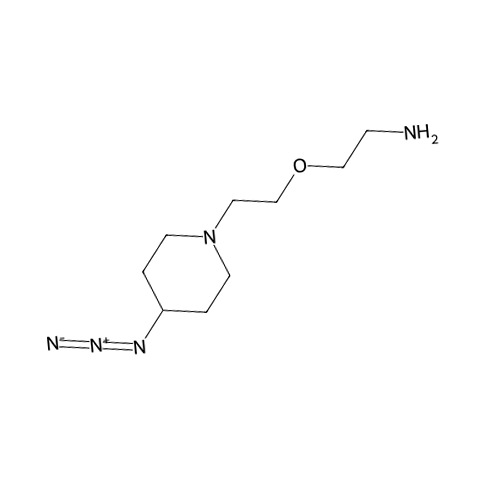 [N-]=[N+]=NC1CCN(CCOCCN)CC1